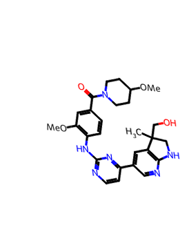 COc1cc(C(=O)N2CCC(OC)CC2)ccc1Nc1nccc(-c2cnc3c(c2)C(C)(CO)CN3)n1